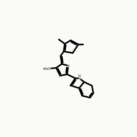 COC1=CC(C2=CC3=CC=CCC3N2)=N/C1=C\C1=C(C)C=C(C)C1